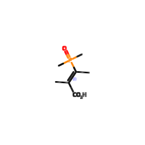 C/C(C(=O)O)=C(/C)P(C)(C)=O